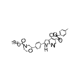 Cc1ccc(S(=O)(=O)c2cnc3[nH]c(-c4ccc(C5CN(C(=O)OC(C)(C)C)CCO5)cc4)cc3c2Cl)cc1